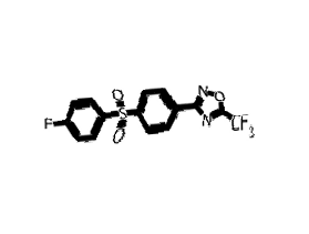 O=S(=O)(c1ccc(F)cc1)c1ccc(-c2noc(C(F)(F)F)n2)cc1